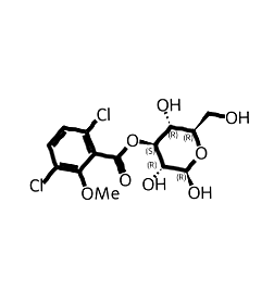 COc1c(Cl)ccc(Cl)c1C(=O)O[C@@H]1[C@@H](O)[C@H](O)O[C@H](CO)[C@H]1O